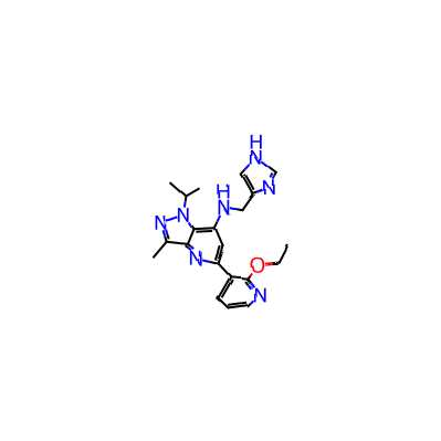 CCOc1ncccc1-c1cc(NCc2c[nH]cn2)c2c(n1)c(C)nn2C(C)C